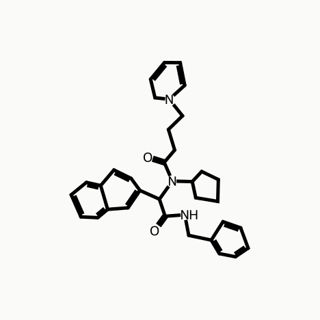 O=C(NCc1ccccc1)C(c1ccc2ccccc2c1)N(C(=O)CCCN1C=CC=CC1)C1CCCC1